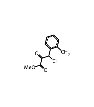 COC(=O)C(=O)C(Cl)c1ccccc1C